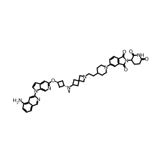 CN(C1CC2(C1)CN(CCC1CCN(c3ccc4c(c3)C(=O)N(C3CCC(=O)NC3=O)C4=O)CC1)C2)[C@H]1C[C@H](Oc2cc3ccn(-c4cc5c(N)cccc5cn4)c3cn2)C1